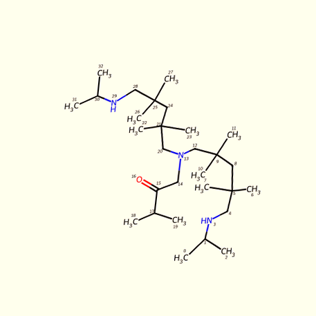 CC(C)NCC(C)(C)CC(C)(C)CN(CC(=O)C(C)C)CC(C)(C)CC(C)(C)CNC(C)C